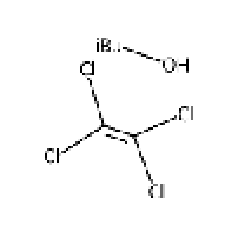 CCC(C)O.ClC(Cl)=C(Cl)Cl